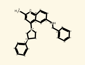 Cc1cc(N2CC[C@@H](c3ccccc3)C2)c2cc(NCc3ccccc3)ccc2n1